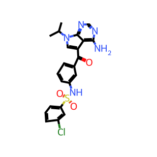 CC(C)n1cc(C(=O)c2cccc(NS(=O)(=O)c3cccc(Cl)c3)c2)c2c(N)ncnc21